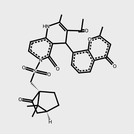 CC(=O)C1=C(C)Nc2ccn(S(=O)(=O)C[C@@]34CC[C@@H](CC3=O)C4(C)C)c(=O)c2C1c1cccc2c(=O)cc(C)oc12